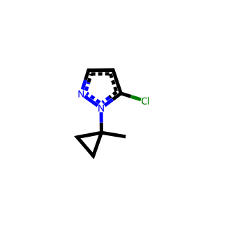 CC1(n2nccc2Cl)CC1